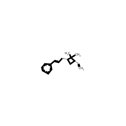 C=C[C@@H]1C[C@H](C/C=C/c2ccccc2)C1(C)C